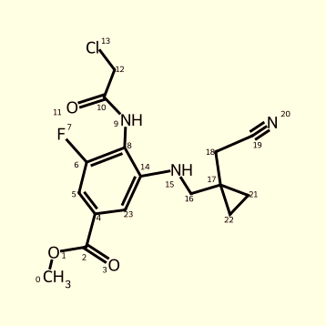 COC(=O)c1cc(F)c(NC(=O)CCl)c(NCC2(CC#N)CC2)c1